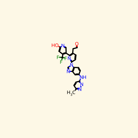 Cc1ccc(Nc2ccc3c(c2)ncn3-c2ccc(CC=O)c(-c3cnc(O)cc3C(F)(F)F)n2)nn1